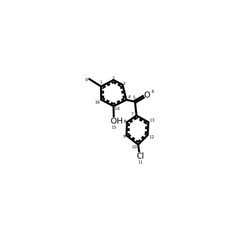 Cc1ccc(C(=O)c2ccc(Cl)cc2)c(O)c1